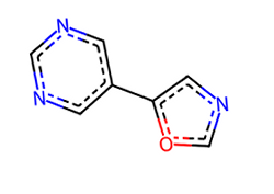 c1ncc(-c2cnco2)cn1